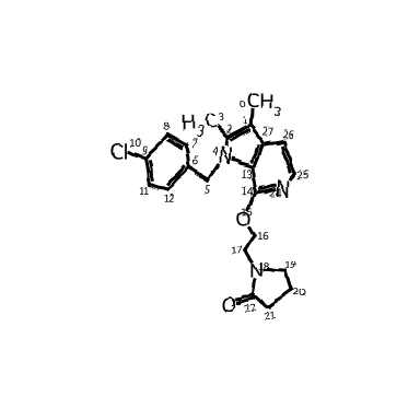 Cc1c(C)n(Cc2ccc(Cl)cc2)c2c(OCCN3CCCC3=O)nccc12